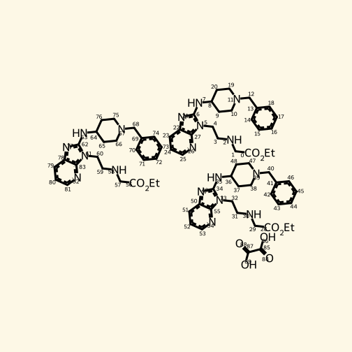 CCOC(=O)CNCCn1c(NC2CCN(Cc3ccccc3)CC2)nc2cccnc21.CCOC(=O)CNCCn1c(NC2CCN(Cc3ccccc3)CC2)nc2cccnc21.CCOC(=O)CNCCn1c(NC2CCN(Cc3ccccc3)CC2)nc2cccnc21.O=C(O)C(=O)O